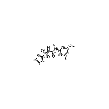 COc1cc(C)nc(N(C)C(=O)NS(=O)(=O)c2cccs2)n1